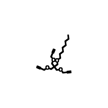 C#CCOCC(COCC#C)(COCC#C)COCCCCCCCC